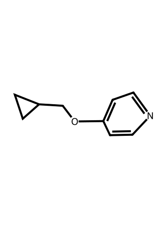 c1cc(OCC2CC2)ccn1